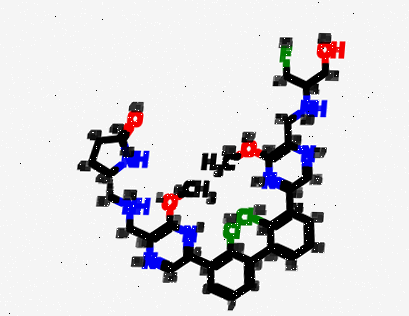 COc1nc(-c2cccc(-c3cccc(-c4cnc(CNC(CO)CF)c(OC)n4)c3Cl)c2Cl)cnc1CNC[C@@H]1CCC(=O)N1